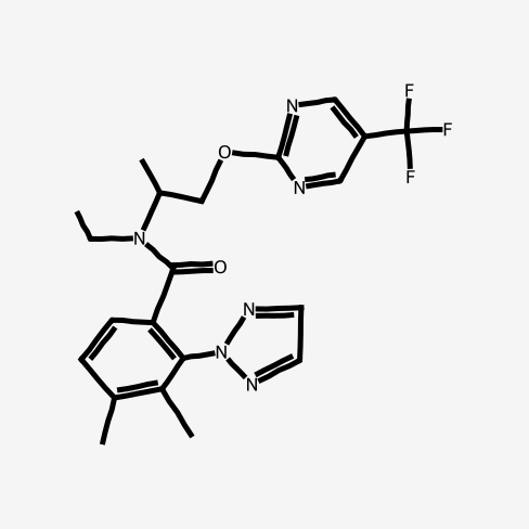 CCN(C(=O)c1ccc(C)c(C)c1-n1nccn1)C(C)COc1ncc(C(F)(F)F)cn1